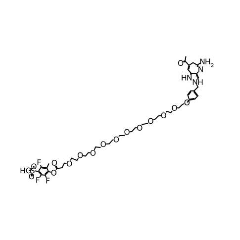 CC(=O)C1=CC(=N)/C(=C\NCc2ccc(OCCOCCOCCOCCOCCOCCOCCOCCOCCOCCOCCC(=O)Oc3c(C)c(F)c(S(=O)(=O)O)c(F)c3F)cc2)N=C(N)C1